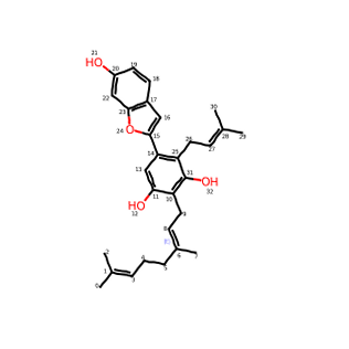 CC(C)=CCC/C(C)=C/Cc1c(O)cc(-c2cc3ccc(O)cc3o2)c(CC=C(C)C)c1O